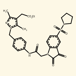 CCOC(=O)Cc1c(C)nn(Cc2ccc(NC(=O)CN3C(=O)C(=O)c4cc(S(=O)(=O)N5CCCC5)ccc43)cc2)c1C